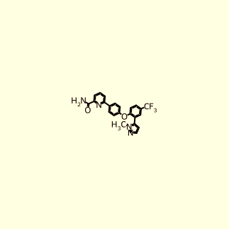 Cn1nccc1-c1cc(C(F)(F)F)ccc1Oc1ccc(-c2cccc(C(N)=O)n2)cc1